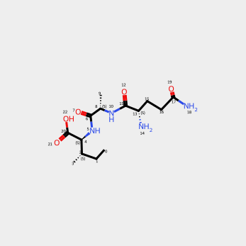 CC[C@H](C)[C@H](NC(=O)[C@H](C)NC(=O)[C@@H](N)CCC(N)=O)C(=O)O